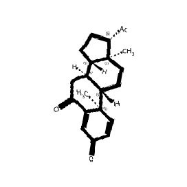 CC(=O)[C@H]1CC[C@H]2[C@@H]3CC(=O)C4=CC(=O)C=C[C@]4(C)[C@H]3CC[C@]12C